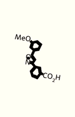 COc1cccc(-c2cc(-c3cccc(C(=O)O)c3)no2)c1